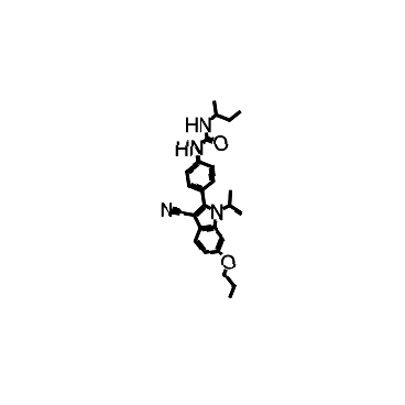 CCCOc1ccc2c(C#N)c(-c3ccc(NC(=O)NC(C)CC)cc3)n(C(C)C)c2c1